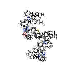 CC1(C)CCC(C)(C)c2cc3c(cc21)c1ccccc1n3-c1ccc2c(-c3nc(-c4ccc5sc6c(CC7(C)CCC(C)(C)c8cc9c%10ccccc%10n(-c%10cccc%11cc(-c%12nc%13ccccc%13nc%12-c%12cccc%13c%12C(C)(C)C%12C=CC=CC%13%12)ccc%10%11)c9cc87)cccc6c5c4)c4c(n3)oc3ccccc34)cccc2c1